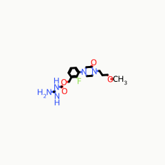 COCCCN1CCN(c2cccc(COC(=O)NC(=N)N)c2F)CC1=O